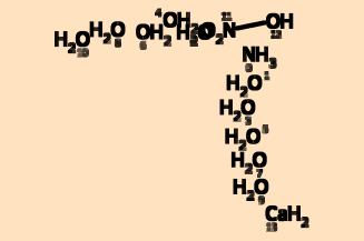 N.O.O.O.O.O.O.O.O.O.O.O=[N+]([O-])O.[CaH2]